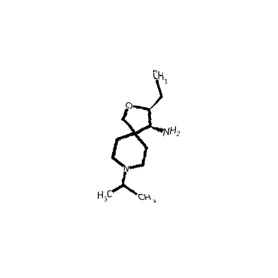 CC[C@@H]1OCC2(CCN(C(C)C)CC2)[C@@H]1N